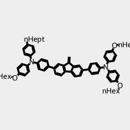 C=C1c2cc(-c3ccc(N(c4ccc(CCCCCCC)cc4)c4ccc(OCCCCCC)cc4)cc3)ccc2-c2ccc(-c3ccc(N(c4ccc(OCCCCCC)cc4)c4ccc(OCCCCCC)cc4)cc3)cc21